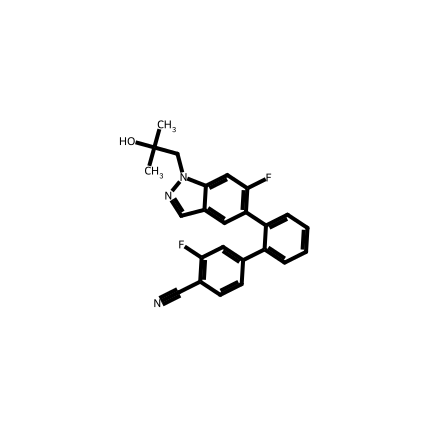 CC(C)(O)Cn1ncc2cc(-c3ccccc3-c3ccc(C#N)c(F)c3)c(F)cc21